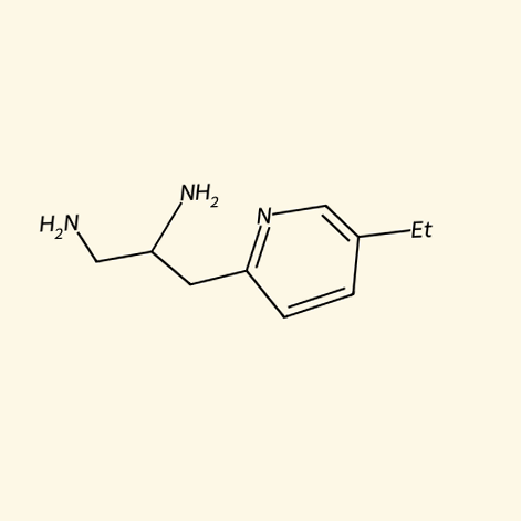 CCc1ccc(CC(N)CN)nc1